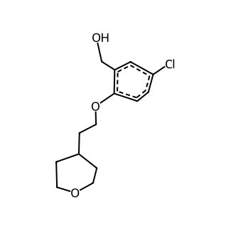 OCc1cc(Cl)ccc1OCCC1CCOCC1